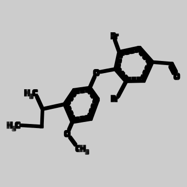 CCC(C)c1cc(Oc2c(Br)cc(C=O)cc2Br)ccc1OC